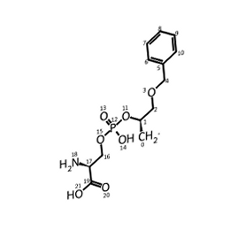 [CH2][C@H](COCc1ccccc1)OP(=O)(O)OC[C@H](N)C(=O)O